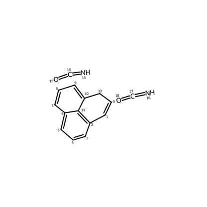 C1=Cc2cccc3cccc(c23)C1.N=C=O.N=C=O